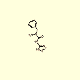 NN(Cc1ccccc1)C(=O)Nc1nnn[nH]1